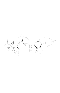 Cc1cc(Nc2ncc(Cl)c(Nc3cn(C)nc3S(=O)(=O)C(C)C)n2)c2c(c1C1CCN(C)CC1)C[C@@H](C)O2